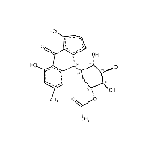 CC(=O)O[C@@H]1O[C@@H]([C@H]2c3cccc(O)c3C(=O)c3c(O)cc(C)cc32)[C@H](O)[C@@H](O)[C@H]1O